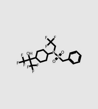 O=S(=O)(Cc1ccccc1)N(CC(F)(F)F)C1CCC(C(O)(C(F)(F)F)C(F)(F)F)CC1